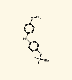 CC(C)(C)[Si](C)(C)Oc1ccc(Nc2ccc(OC(F)(F)F)cc2)cc1